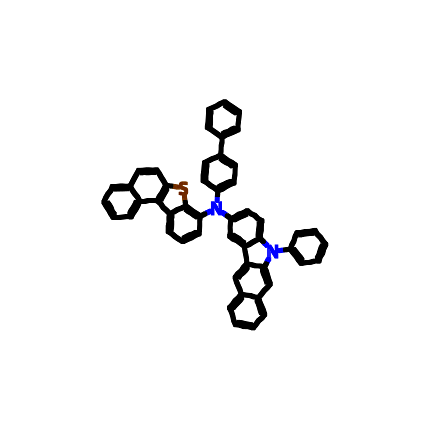 c1ccc(-c2ccc(N(c3ccc4c(c3)c3cc5ccccc5cc3n4-c3ccccc3)c3cccc4c3sc3ccc5ccccc5c34)cc2)cc1